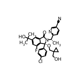 C[C@@H](c1ccc(C#N)cn1)N1C(=O)c2cc(C(C)(C)O)cc(F)c2[C@]1(OCC1(CO)CC1)c1ccc(Cl)cc1